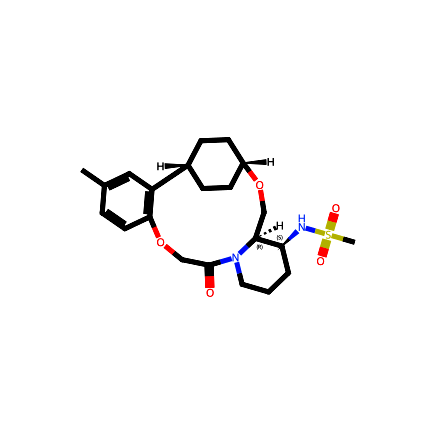 Cc1ccc2c(c1)[C@H]1CC[C@H](CC1)OC[C@H]1[C@@H](NS(C)(=O)=O)CCCN1C(=O)CO2